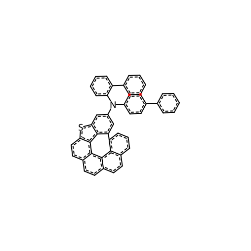 c1ccc(-c2ccc(N(c3cc4c5c(c3)sc3ccc6ccc7ccc8cccc-4c8c7c6c35)c3ccccc3-c3ccccc3)cc2)cc1